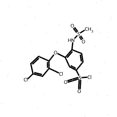 CS(=O)(=O)Nc1ccc(S(=O)(=O)Cl)cc1Oc1ccc(Cl)cc1Cl